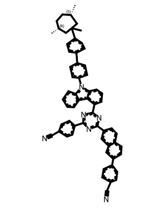 C[C@@H]1CC[C@H](C)CC(C)(c2ccc(-c3ccc(-n4c5ccccc5c5c(-c6nc(-c7ccc(C#N)cc7)nc(-c7ccc8ccc(-c9ccc(C#N)cc9)cc8c7)n6)cccc54)cc3)cc2)C1